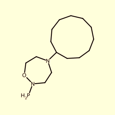 PN1CCN(C2CCCCCCCCCC2)CCO1